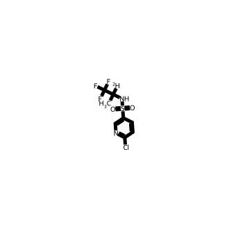 [2H]C(C)(NS(=O)(=O)c1ccc(Cl)nc1)C(F)(F)F